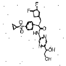 O=C(Nc1cnc(C(O)CO)cn1)[C@H](CC1CC(F)C(F)C1)c1ccc(S(=O)(=O)C2CC2)cc1